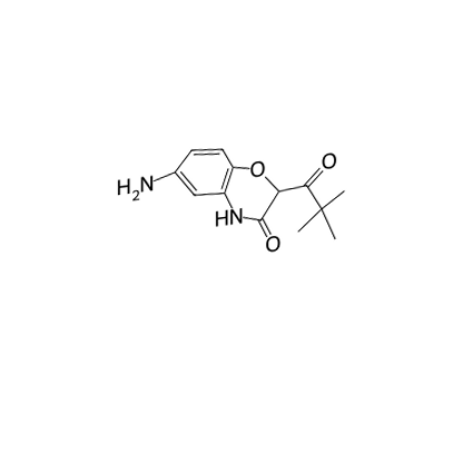 CC(C)(C)C(=O)C1Oc2ccc(N)cc2NC1=O